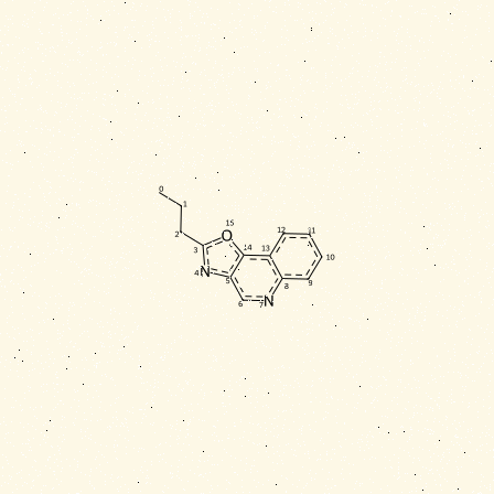 CCCc1nc2cnc3ccccc3c2o1